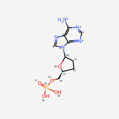 Nc1ncnc2c1ncn2C1CC[C@@H](COP(=O)(O)O)O1